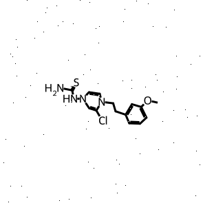 COc1cccc(CCN2C=CN(NC(N)=S)C=C2Cl)c1